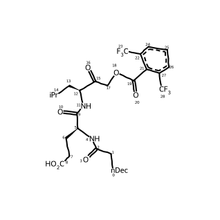 CCCCCCCCCCCC(=O)N[C@@H](CCC(=O)O)C(=O)N[C@@H](CC(C)C)C(=O)COC(=O)c1c(C(F)(F)F)cccc1C(F)(F)F